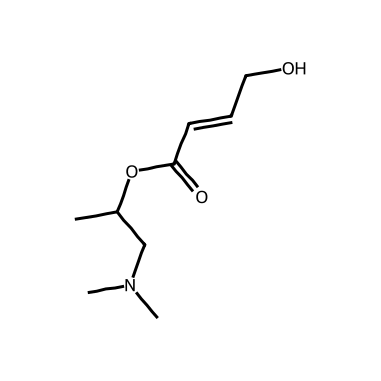 CC(CN(C)C)OC(=O)/C=C/CO